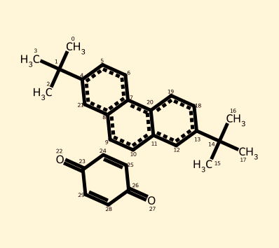 CC(C)(C)c1ccc2c(ccc3cc(C(C)(C)C)ccc32)c1.O=C1C=CC(=O)C=C1